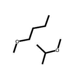 CCCCOC.COC(C)C